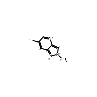 Pn1cc2ncc(I)cc2n1